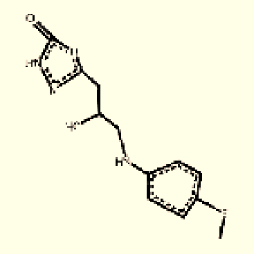 CSc1ccc(NCC(O)Cc2n[nH]c(=O)o2)cc1